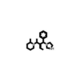 C/C=C(\C(c1ccccc1)N1CCNC1)C(C)N1CCCCC1C